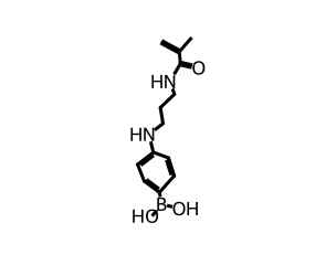 C=C(C)C(=O)NCCCNc1ccc(B(O)O)cc1